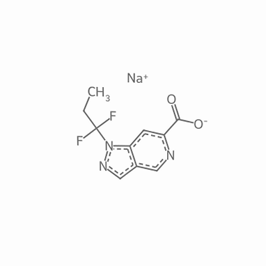 CCC(F)(F)n1ncc2cnc(C(=O)[O-])cc21.[Na+]